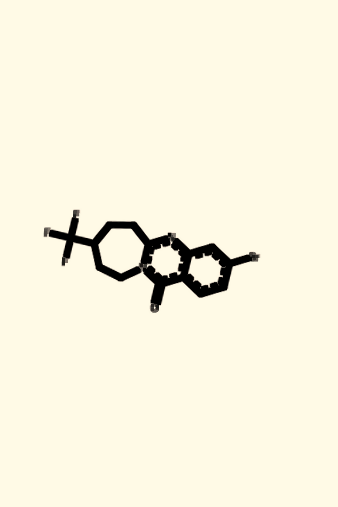 O=c1c2ccc(Br)cc2nc2n1CCC(C(F)(F)F)CC2